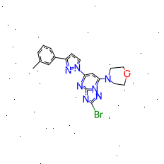 Cc1cccc(-c2ccn(-c3cc(N4CCOCC4)n4nc(Br)nc4n3)n2)c1